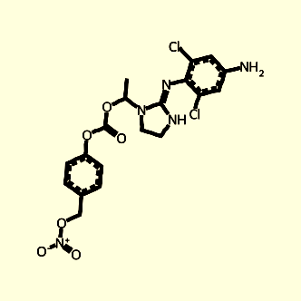 CC(OC(=O)Oc1ccc(CO[N+](=O)[O-])cc1)N1CCN/C1=N\c1c(Cl)cc(N)cc1Cl